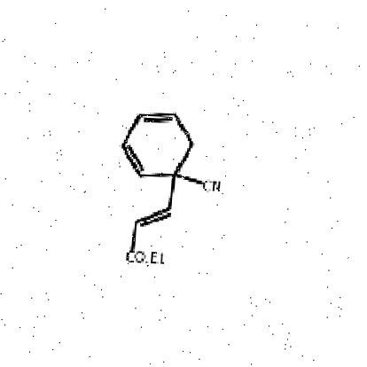 CCOC(=O)C=CC1(C#N)C=CC=CC1